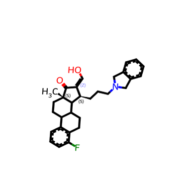 C[C@]12CCC3c4cccc(F)c4CCC3C1[C@H](CCCN1Cc3ccccc3C1)/C(=C/O)C2=O